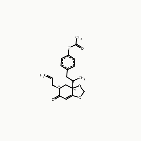 C=CC[C@H]1C[C@]2(C(C)Cc3ccc(OC(C)=O)cc3)OCOC2=CC1=O